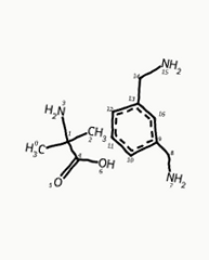 CC(C)(N)C(=O)O.NCc1cccc(CN)c1